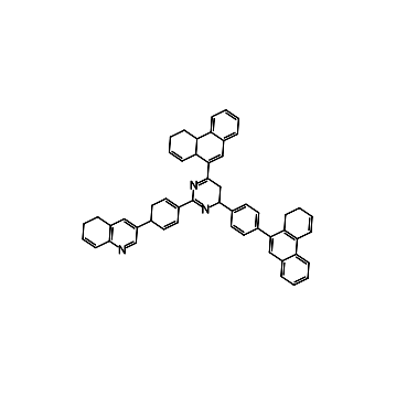 C1=Cc2ncc(C3C=CC(C4=NC(c5ccc(-c6cc7ccccc7c7c6CCC=C7)cc5)CC(C5=Cc6ccccc6C6CCC=CC56)=N4)=CC3)cc2CC1